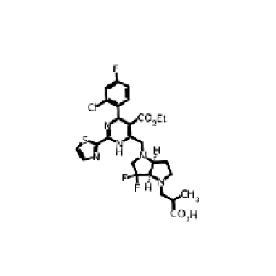 CCOC(=O)C1=C(CN2CC(F)(F)[C@H]3[C@@H]2CCN3CC(C)C(=O)O)NC(c2nccs2)=NC1c1ccc(F)cc1Cl